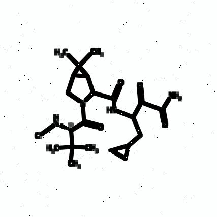 CC1(C)C2CN(C(=O)[C@@H](NCl)C(C)(C)C)C(C(=O)NC(CC3CC3)C(=O)C(N)=O)C21